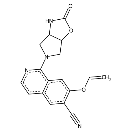 C=COc1cc2c(N3CC4NC(=O)OC4C3)nccc2cc1C#N